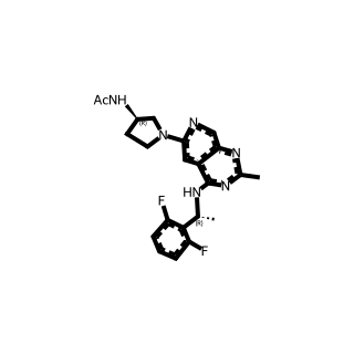 CC(=O)N[C@@H]1CCN(c2cc3c(N[C@H](C)c4c(F)cccc4F)nc(C)nc3cn2)C1